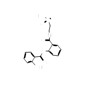 Cc1ccccc1C(=O)Oc1ccccc1C(=O)NCCS(C)(=O)=O